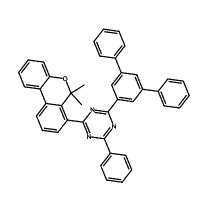 CC1(C)Oc2ccccc2-c2cccc(-c3nc(-c4ccccc4)nc(-c4cc(-c5ccccc5)cc(-c5ccccc5)c4)n3)c21